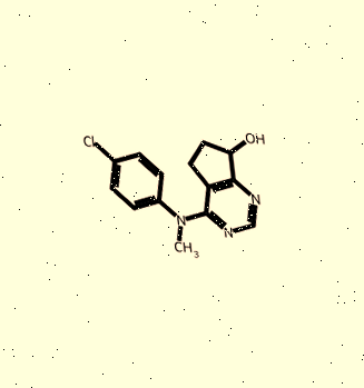 CN(c1ccc(Cl)cc1)c1ncnc2c1CCC2O